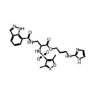 Cc1noc(C)c1S(=O)(=O)NC(CNC(=O)c1cccc2cn[nH]c12)C(=O)OCCCNc1ncc[nH]1